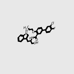 CCCOc1ccc(-c2ccc(F)c(Cl)c2)cc1C(=O)NC(CO)Cc1c[nH]c2ccccc12